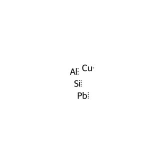 [Al].[Cu].[Pb].[Si]